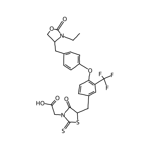 CCN1C(=O)OCC1Cc1ccc(Oc2ccc(CC3SC(=S)N(CC(=O)O)C3=O)cc2C(F)(F)F)cc1